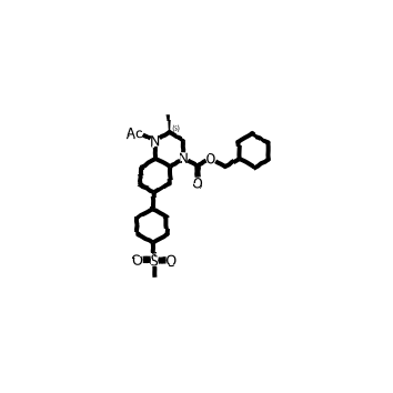 CC(=O)N1C2CCC(C3CCC(S(C)(=O)=O)CC3)CC2N(C(=O)OCC2CCCCC2)C[C@@H]1C